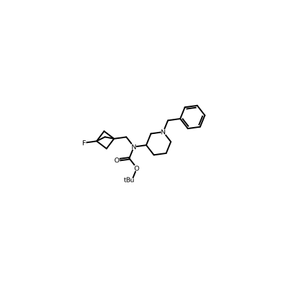 CC(C)(C)OC(=O)N(CC12CC(F)(C1)C2)C1CCCN(Cc2ccccc2)C1